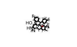 Cc1cc(CC2c3nc[nH]c3C[C@@H](C(=O)O)N2C(=O)C(c2ccc(F)cc2)c2ccc(F)cc2)ccc1N(C)C